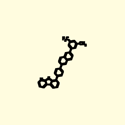 Cc1cc(-c2ccc3cc(-c4ccc(-c5cccc6c5sc5ncccc56)cc4)ccc3c2)cc(C(F)(F)F)c1